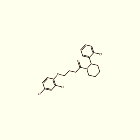 O=C(CCCOc1ccc(Cl)cc1Cl)N1CCCCC1c1ccccc1Cl